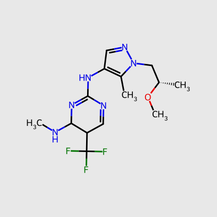 CNC1N=C(Nc2cnn(C[C@H](C)OC)c2C)N=CC1C(F)(F)F